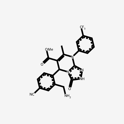 COC(=O)C1=C(C)N(c2cccc(C(F)(F)F)c2)c2n[nH]c(=O)n2C1c1ccc(C#N)cc1CN